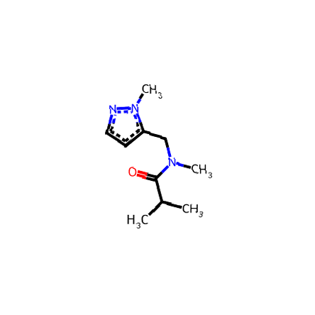 CC(C)C(=O)N(C)Cc1ccnn1C